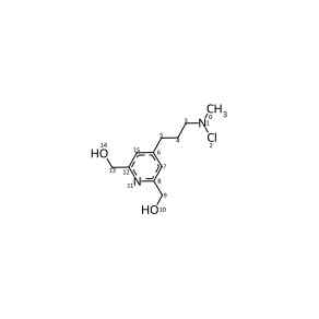 CN(Cl)CCCc1cc(CO)nc(CO)c1